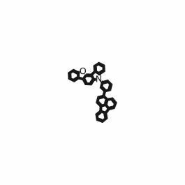 c1cc(-c2ccc3c4c(cccc24)-c2ccccc2-3)cc(-n2c3ccccc3c3c4oc5ccccc5c4ccc32)c1